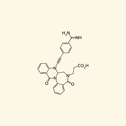 N=C(N)c1ccc(C#CN2c3ccccc3C(=O)N3c4ccccc4C(=O)N(CCC(=O)O)CC23)cc1